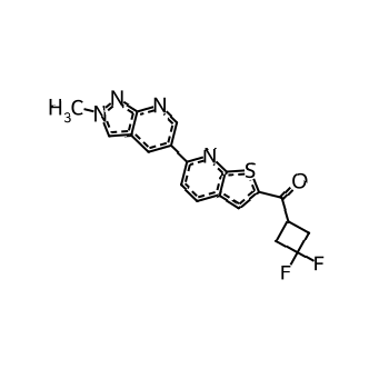 Cn1cc2cc(-c3ccc4cc(C(=O)C5CC(F)(F)C5)sc4n3)cnc2n1